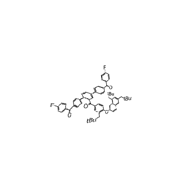 CC(C)(C)Cc1cc(CC(C)(C)C)c2cc(Oc3ccc(C(=O)c4cc(-c5ccc(C(=O)c6ccc(F)cc6)cc5)ccc4-c4ccc(C(=O)c5ccc(F)cc5)cc4)cc3CC(C)(C)C)ccc2c1